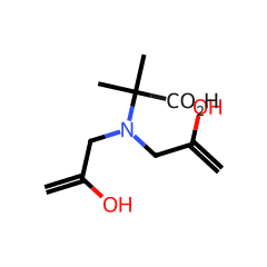 C=C(O)CN(CC(=C)O)C(C)(C)C(=O)O